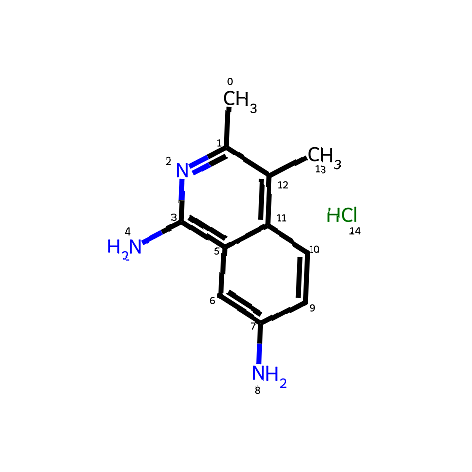 Cc1nc(N)c2cc(N)ccc2c1C.Cl